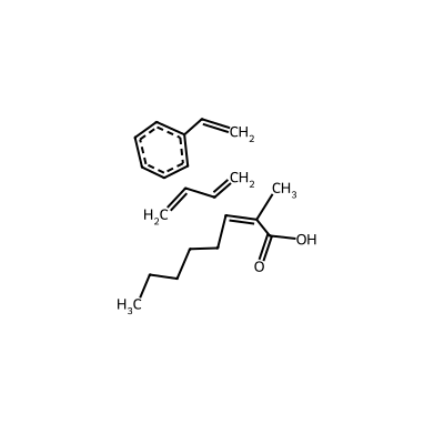 C=CC=C.C=Cc1ccccc1.CCCCCC=C(C)C(=O)O